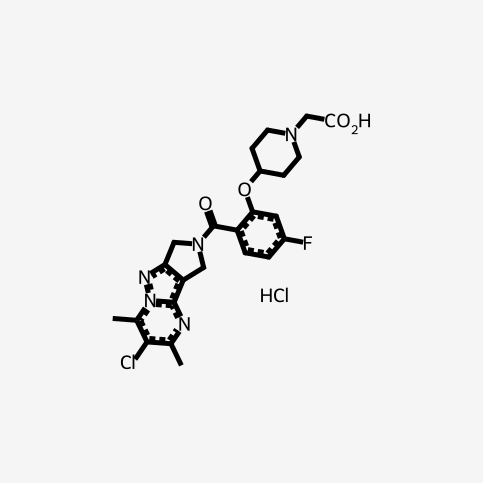 Cc1nc2c3c(nn2c(C)c1Cl)CN(C(=O)c1ccc(F)cc1OC1CCN(CC(=O)O)CC1)C3.Cl